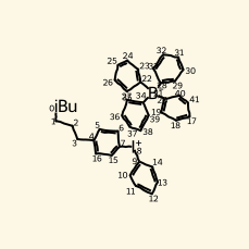 CCC(C)CCCc1ccc([I+]c2ccccc2)cc1.c1ccc([B-](c2ccccc2)(c2ccccc2)c2ccccc2)cc1